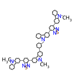 CCn1c2ccccc2c2cc(-c3ccc(-c4ccc5c(c4)c4ccccc4n5Cc4cccc(-c5ccc6c(c5)c5cc(-c7ccc(-c8ccc9c(c8)c8ccccc8n9C)c8nsnc78)ccc5n6CC)c4)c4nsnc34)ccc21